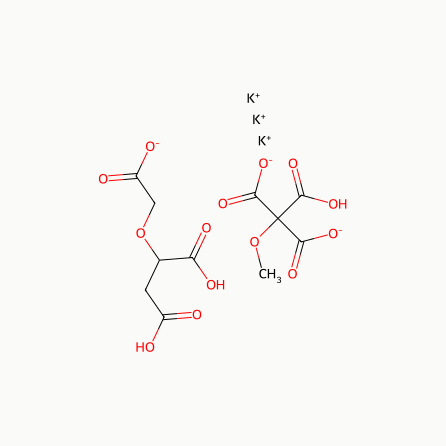 COC(C(=O)[O-])(C(=O)[O-])C(=O)O.O=C([O-])COC(CC(=O)O)C(=O)O.[K+].[K+].[K+]